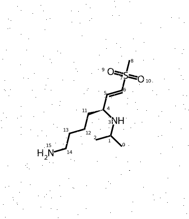 CC(C)N[C@H](/C=C/S(C)(=O)=O)CCCCN